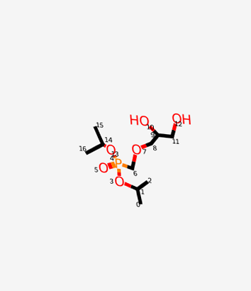 CC(C)OP(=O)(COCC(O)CO)OC(C)C